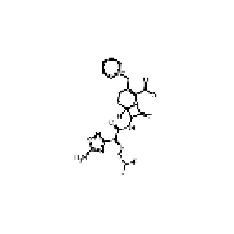 Nc1nc(C(=NOC(F)F)C(=O)NC2C(=O)N3C(C(=O)[O-])=C(C[n+]4ccccc4)CS[C@@H]23)ns1